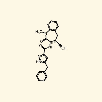 C#C[C@@H]1Cc2cccnc2N(C)C(=O)[C@@H]1NC(=O)c1cc(Cc2ccccc2)[nH]n1